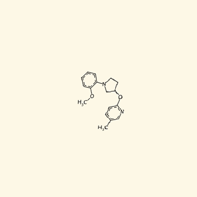 COc1ccccc1N1CCC(Oc2ccc(C)cn2)C1